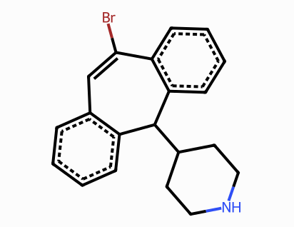 BrC1=Cc2ccccc2C(C2CCNCC2)c2ccccc21